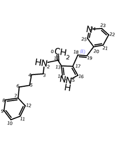 C=C(NCCCCc1ccccc1)c1n[nH]cc1/C=C/c1cccnc1